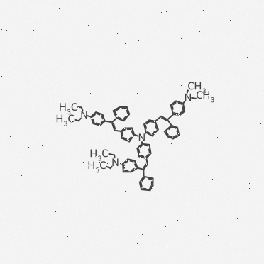 CCN(CC)c1ccc(C(=Cc2ccc(N(c3ccc(C=C(c4ccccc4)c4ccc(N(CC)CC)cc4)cc3)c3ccc(/C=C(\c4ccccc4)c4ccc(N(CC)CC)cc4)cc3)cc2)c2ccccc2)cc1